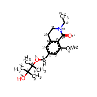 COc1cc(BOC(C)(C)C(C)(C)O)cc2c1C(=O)N(CC(F)(F)F)CC2